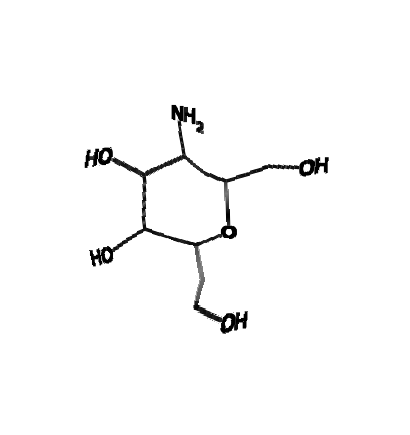 NC1C(CO)OC(CO)C(O)C1O